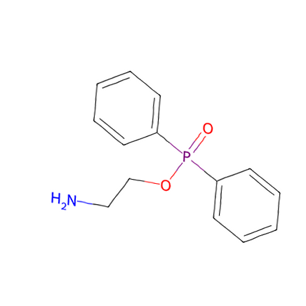 NCCOP(=O)(c1ccccc1)c1ccccc1